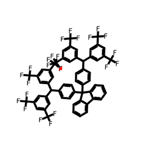 FC(F)(F)c1cc(C(c2ccc(C3(c4ccc(C(c5cc(C(F)(F)F)cc(C(F)(F)F)c5)c5cc(C(F)(F)F)cc(C(F)(F)F)c5)cc4)c4ccccc4-c4ccccc43)cc2)c2cc(C(F)(F)F)cc(C(F)(F)F)c2)cc(C(F)(F)F)c1